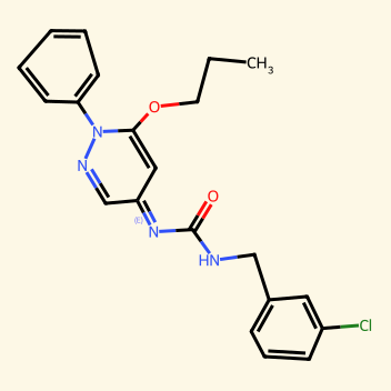 CCCOc1c/c(=N\C(=O)NCc2cccc(Cl)c2)cnn1-c1ccccc1